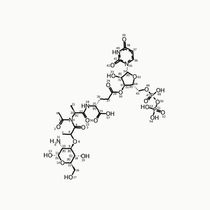 CC(=O)N(C(=O)C(C)O[C@@H]1[C@@H](N)[C@@H](O)O[C@H](CO)[C@H]1O)[C@@H](C)C(=O)N[C@H](CCC(=O)O[C@H]1[C@@H](O)[C@H](n2ccc(=O)[nH]c2=O)O[C@@H]1COP(=O)(O)OP(=O)(O)O)C(=O)O